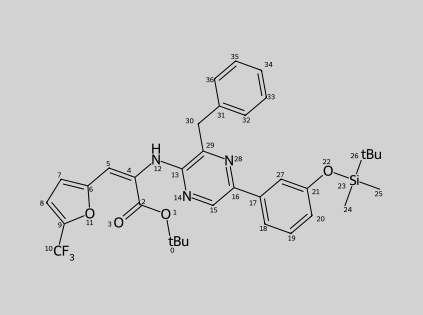 CC(C)(C)OC(=O)C(=Cc1ccc(C(F)(F)F)o1)Nc1ncc(-c2cccc(O[Si](C)(C)C(C)(C)C)c2)nc1Cc1ccccc1